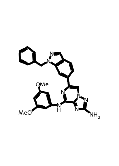 COc1cc(Nc2nc(-c3ccc4cnn(Cc5ccccc5)c4c3)cn3nc(N)nc23)cc(OC)c1